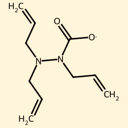 C=CCN(CC=C)N(CC=C)C([O])=O